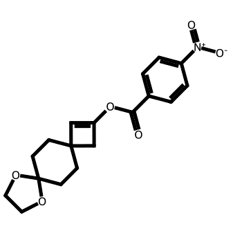 O=C(OC1=CC2(CCC3(CC2)OCCO3)C1)c1ccc([N+](=O)[O-])cc1